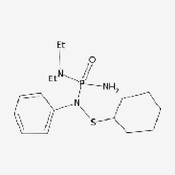 CCN(CC)P(N)(=O)N(SC1CCCCC1)c1ccccc1